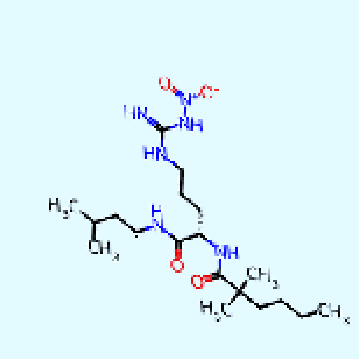 CCCCC(C)(C)C(=O)N[C@@H](CCCNC(=N)N[N+](=O)[O-])C(=O)N[CH]CC(C)C